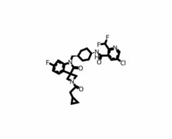 O=C(N[C@H]1CC[C@H](CN2C(=O)C3(CN(C(=O)CC4CC4)C3)c3ccc(F)cc32)CC1)c1cc(Cl)cnc1C(F)F